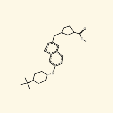 COC(=O)C1CCN(Cc2ccc3cc(O[C@H]4CC[C@H](C(C)(C)C)CC4)ccc3c2)C1